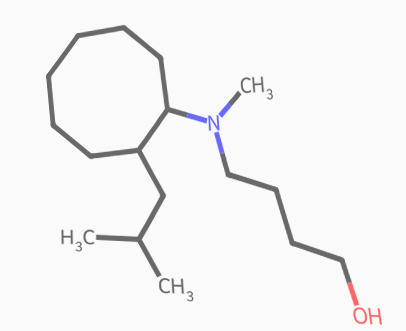 CC(C)CC1CCCCCCC1N(C)CCCCO